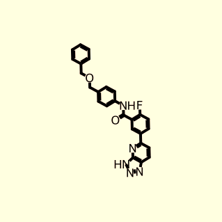 O=C(Nc1ccc(COCc2ccccc2)cc1)c1cc(-c2ccc3nn[nH]c3n2)ccc1F